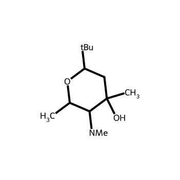 CNC1C(C)OC(C(C)(C)C)CC1(C)O